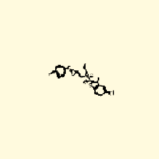 CCCN(CCOSc1ccc(C)cc1)S(=O)(=O)c1sc2ccc(Cl)cc2c1C